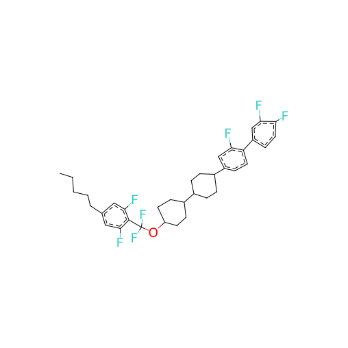 CCCCCc1cc(F)c(C(F)(F)OC2CCC(C3CCC(c4ccc(-c5ccc(F)c(F)c5)c(F)c4)CC3)CC2)c(F)c1